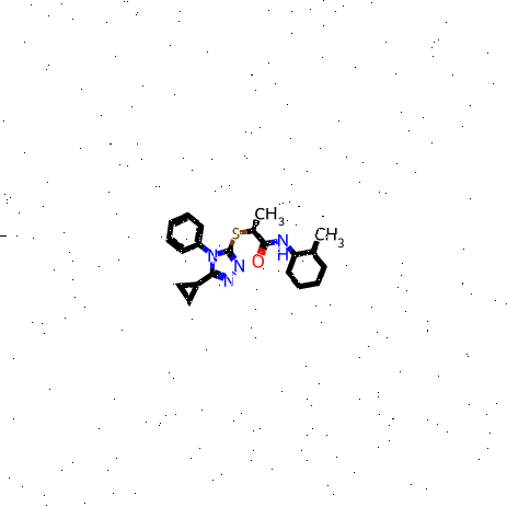 CC(Sc1nnc(C2CC2)n1-c1ccccc1)C(=O)NC1CCCCC1C